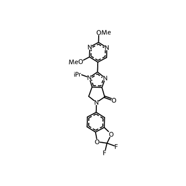 COc1ncc(-c2nc3c(n2C(C)C)CN(c2ccc4c(c2)OC(F)(F)O4)C3=O)c(OC)n1